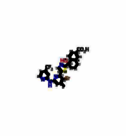 Cc1cc(Nc2cc(C(F)(F)F)ccn2)nc(-c2cnc([C@@]3(O)CCCc4cc(C(=O)O)ccc43)s2)c1Br